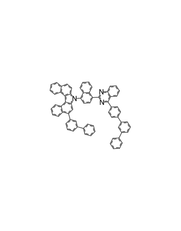 c1ccc(-c2cccc(-c3ccc(-c4nc(-c5ccc(-n6c7ccc8ccccc8c7c7c8ccccc8c(-c8cccc(-c9ccccc9)c8)cc76)c6ccccc56)nc5ccccc45)cc3)c2)cc1